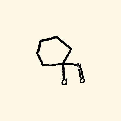 O=NC1(Cl)CCCCC1